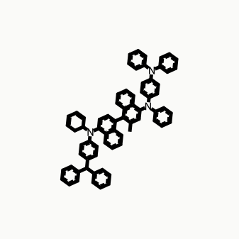 Cc1cc(N(c2ccccc2)c2ccc(N(c3ccccc3)c3ccccc3)cc2)c2ccccc2c1-c1ccc(N(c2ccc(C(c3ccccc3)c3ccccc3)cc2)C2C=CC=CC2)c2ccccc12